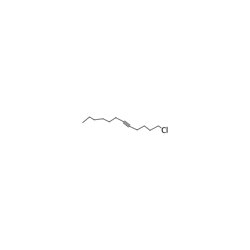 CCCCCCC#CCCCCCl